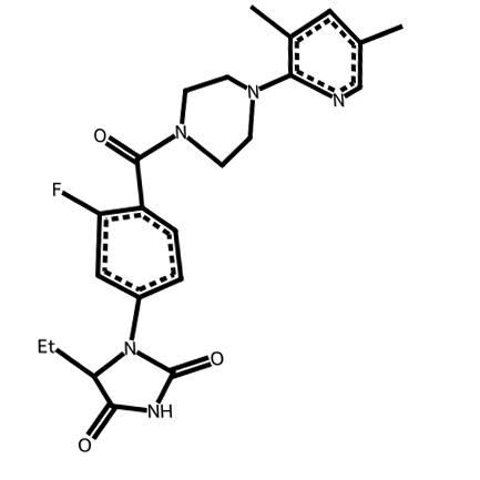 CCC1C(=O)NC(=O)N1c1ccc(C(=O)N2CCN(c3ncc(C)cc3C)CC2)c(F)c1